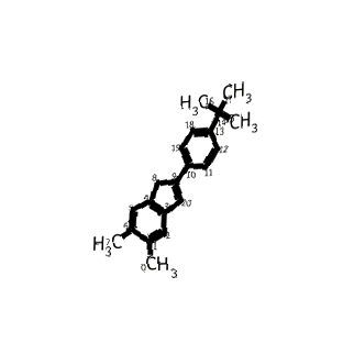 Cc1cc2c(cc1C)CC(c1ccc(C(C)(C)C)cc1)=C2